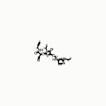 C#CCNC(=O)C(=C=c1sc(=C=CNc2ccnc(NCC)c2)c(=O)n1CC)C#N